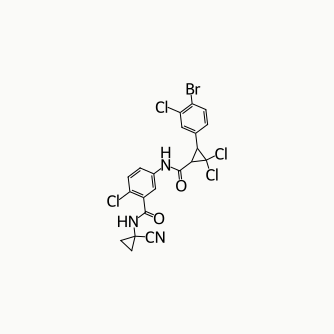 N#CC1(NC(=O)c2cc(NC(=O)C3C(c4ccc(Br)c(Cl)c4)C3(Cl)Cl)ccc2Cl)CC1